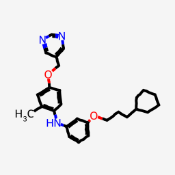 Cc1cc(OCc2cncnc2)ccc1Nc1cccc(OCCCC2CCCCC2)c1